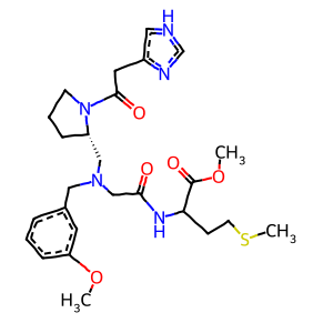 COC(=O)C(CCSC)NC(=O)CN(Cc1cccc(OC)c1)C[C@@H]1CCCN1C(=O)Cc1c[nH]cn1